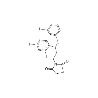 O=C1CCC(=O)N1CCC(Oc1cccc(I)c1)c1ccc(F)cc1I